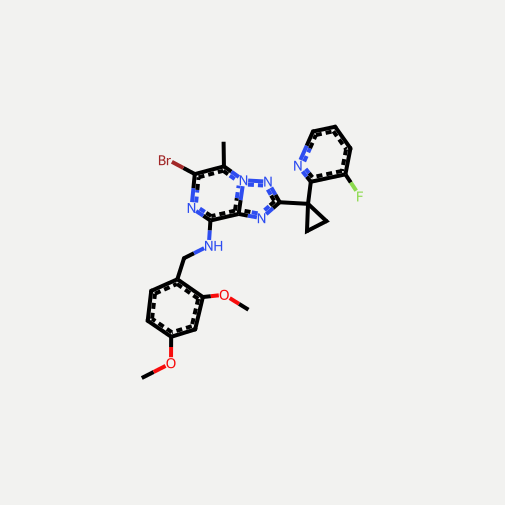 COc1ccc(CNc2nc(Br)c(C)n3nc(C4(c5ncccc5F)CC4)nc23)c(OC)c1